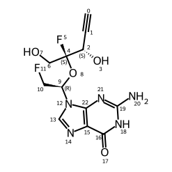 C#C[C@H](O)[C@@](F)(CO)O[C@H](CF)n1cnc2c(=O)[nH]c(N)nc21